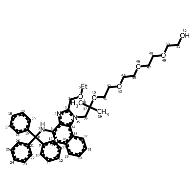 CCOCc1nc2c(NC(c3ccccc3)(c3ccccc3)c3ccccc3)nc3ccccc3c2n1CC(C)(C)OCCOCCOCCOCCO